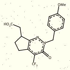 COc1ccc(Cn2nc3c(c(C(F)(F)F)c2=O)CCC3CC(=O)O)cc1